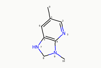 Cc1cnc2c(c1)NCN2C